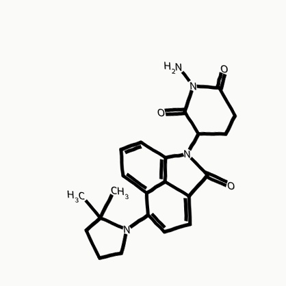 CC1(C)CCCN1c1ccc2c3c(cccc13)N(C1CCC(=O)N(N)C1=O)C2=O